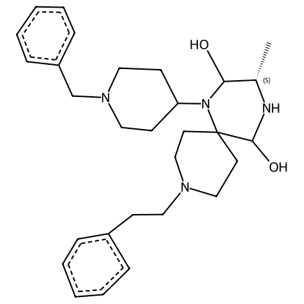 C[C@@H]1NC(O)C2(CCN(CCc3ccccc3)CC2)N(C2CCN(Cc3ccccc3)CC2)C1O